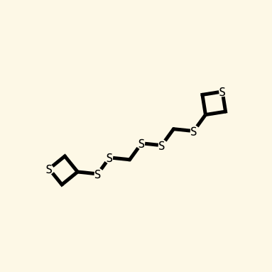 C(SSCSC1CSC1)SSC1CSC1